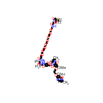 CCC(CC)(CC)SC1CC(=O)N(CCC(=O)NCCOCCOCCOCCOCCOCCOCCOCCOCCC(=O)N[C@H](C(=O)N[C@@H](C)C(=O)Nc2ccc(COC(=O)N3c4cc(OCCCCCOc5cc6c(cc5OC)C(=O)N5C=C(C)C[C@H]5C=N6)c(OC)cc4C(=O)N4C=C(C)C[C@H]4[C@@H]3O)cc2)C(C)C)C1=O